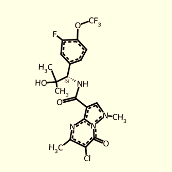 Cc1nc2c(C(=O)N[C@@H](c3ccc(OC(F)(F)F)c(F)c3)C(C)(C)O)cn(C)n2c(=O)c1Cl